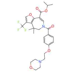 CC(C)OC(=O)C1=CN(C(=O)c2ccc(OCCN3CCOCC3)cc2)CC(C)(C)c2c(C(F)(F)F)coc21